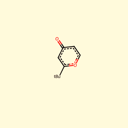 CC(C)(C)c1cc(=O)cco1